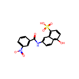 O=C(Nc1ccc2c(O)ccc(S(=O)(=O)O)c2c1)c1cccc([N+](=O)[O-])c1